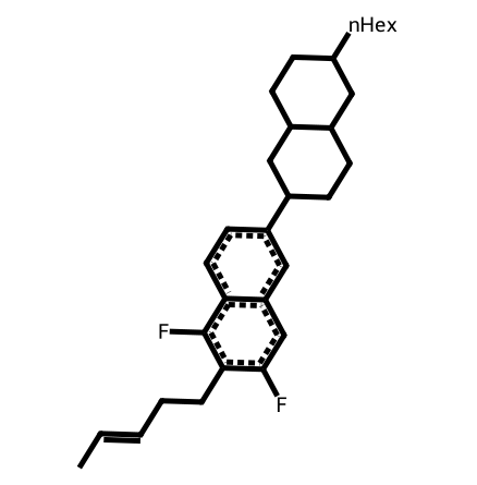 C/C=C/CCc1c(F)cc2cc(C3CCC4CC(CCCCCC)CCC4C3)ccc2c1F